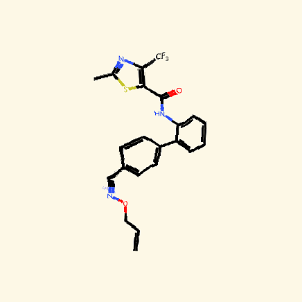 C=CCO/N=C\c1ccc(-c2ccccc2NC(=O)c2sc(C)nc2C(F)(F)F)cc1